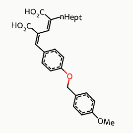 CCCCCCCC(=CC(=Cc1ccc(OCc2ccc(OC)cc2)cc1)C(=O)O)C(=O)O